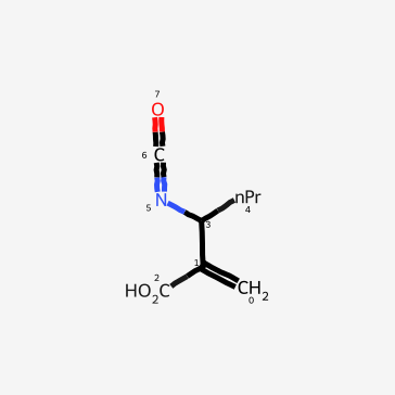 C=C(C(=O)O)C(CCC)N=C=O